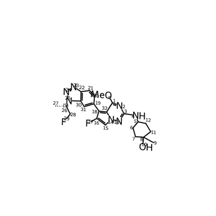 COc1nc(NC2CCC(C)(O)CC2)nn2cc(F)c(-c3ccc4nnn([C@@H](C)CF)c4c3)c12